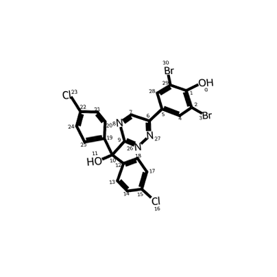 Oc1c(Br)cc(-c2cnc(C(O)(c3ccc(Cl)cc3)c3ccc(Cl)cc3)nn2)cc1Br